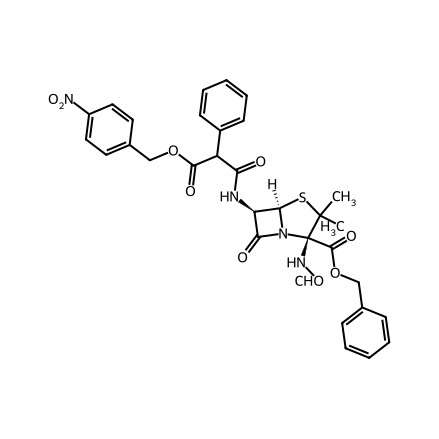 CC1(C)S[C@@H]2[C@H](NC(=O)C(C(=O)OCc3ccc([N+](=O)[O-])cc3)c3ccccc3)C(=O)N2[C@@]1(NC=O)C(=O)OCc1ccccc1